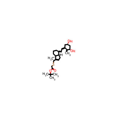 C=C1/C(=C\C=C2/CCC[C@]3(C)C(CSCC(=O)OC(C)(C)C)=CC[C@@H]23)C[C@@H](O)C[C@@H]1O